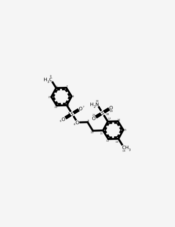 Cc1ccc(S(=O)(=O)OCCc2cc(C)ccc2S(N)(=O)=O)cc1